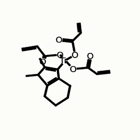 C=CC(=O)[O][Ti]([O]C(=O)C=C)([O]C(=O)C=C)[C]1=C(C)C(C)C2=C1CCCC2